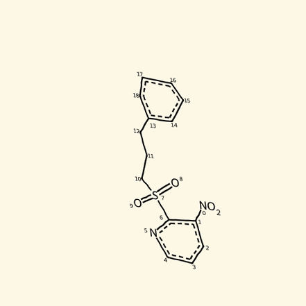 O=[N+]([O-])c1cccnc1S(=O)(=O)CCCc1ccccc1